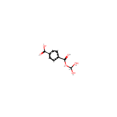 O=C(O)c1ccc(C(=O)OC(O)O)cc1